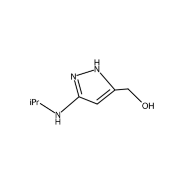 CC(C)Nc1cc(CO)[nH]n1